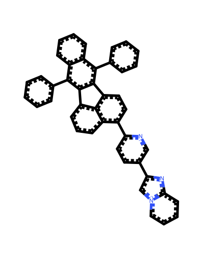 c1ccc(-c2c3c(c(-c4ccccc4)c4ccccc24)-c2ccc(-c4ccc(-c5cn6ccccc6n5)cn4)c4cccc-3c24)cc1